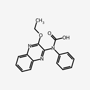 CCOc1nc2ccccc2nc1N(C(=O)O)c1ccccc1